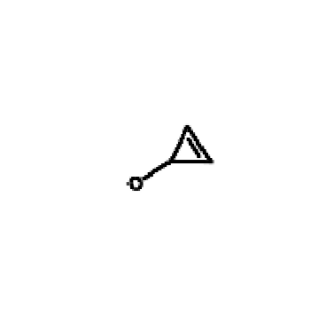 [O]C1C=C1